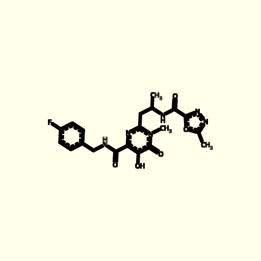 Cc1nnc(C(=O)NC(C)Cc2nc(C(=O)NCc3ccc(F)cc3)c(O)c(=O)n2C)o1